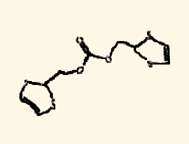 O=C(OCC1SC=CS1)OCC1SC=CS1